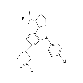 CCC(CC(=O)O)c1ccc(N2CCC[C@H]2C(C)(C)F)c(Nc2ccc(Cl)cc2)c1